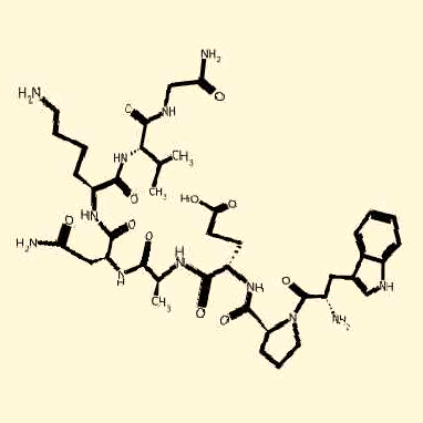 CC(C)[C@H](NC(=O)[C@H](CCCCN)NC(=O)[C@H](CC(N)=O)NC(=O)[C@H](C)NC(=O)[C@H](CCC(=O)O)NC(=O)[C@@H]1CCCN1C(=O)[C@@H](N)Cc1c[nH]c2ccccc12)C(=O)NCC(N)=O